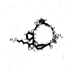 CCCCCC(C)c1c2n(C)c3cc(ccc13)C(=O)NS(=O)(=O)N(C)CCN1CC3CCC(C1)N3C(=O)COc1ccccc1-2